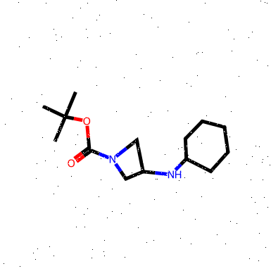 CC(C)(C)OC(=O)N1CC(NC2CCCCC2)C1